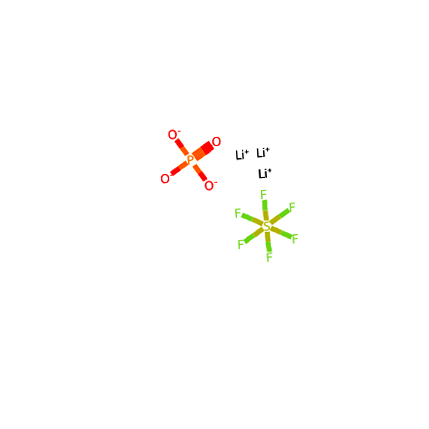 FS(F)(F)(F)(F)F.O=P([O-])([O-])[O-].[Li+].[Li+].[Li+]